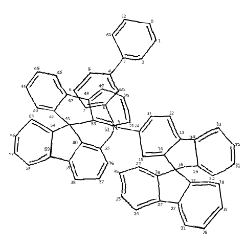 c1ccc(-c2cccc(N(c3ccc4c(c3)C3(c5ccccc5-c5ccccc53)c3ccccc3-4)c3cccc4c3C3(c5ccccc5-c5ccccc53)c3ccccc3-4)c2)cc1